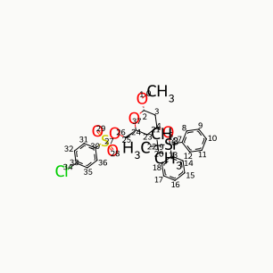 CO[C@@H]1C[C@H](O[Si](c2ccccc2)(c2ccccc2)C(C)(C)C)C[C@@H](COS(=O)(=O)c2ccc(Cl)cc2)O1